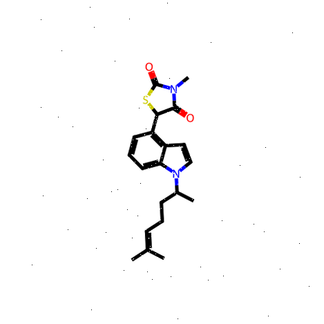 CC(C)=CCCC(C)n1ccc2c(C3SC(=O)N(C)C3=O)cccc21